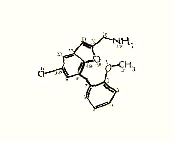 COc1ccccc1-c1cc(Cl)cc2cc(CN)oc12